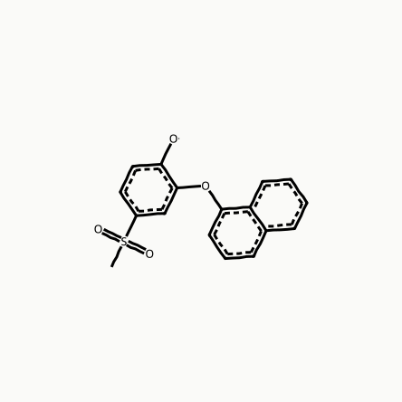 CS(=O)(=O)c1ccc([O])c(Oc2cccc3ccccc23)c1